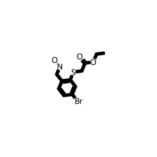 CCOC(=O)CSc1cc(Br)ccc1CN=O